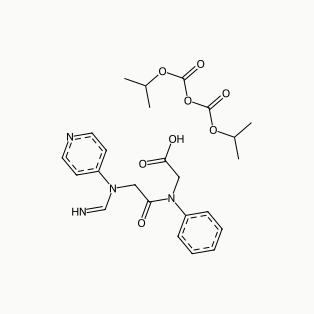 CC(C)OC(=O)OC(=O)OC(C)C.N=CN(CC(=O)N(CC(=O)O)c1ccccc1)c1ccncc1